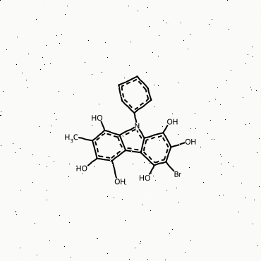 Cc1c(O)c(O)c2c3c(O)c(Br)c(O)c(O)c3n(-c3ccccc3)c2c1O